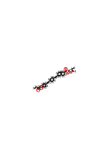 C=CC(=C)OCOC(=O)c1ccc2cc(C#Cc3ccc(C#Cc4ccc(OCC(=O)C=C)cc4)cc3)ccc2c1